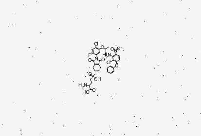 C#CC(C)Oc1cc(N2C(=O)C3=C(CCCC3)C2=O)c(F)cc1Cl.CP(=O)(O)CCC(N)C(=O)O.Nc1c([N+](=O)[O-])ccc(Oc2ccccc2)c1Cl